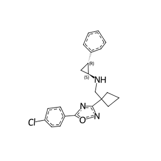 Clc1ccc(-c2nc(C3(CN[C@H]4C[C@@H]4c4ccccc4)CCC3)no2)cc1